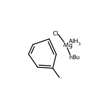 CCC[CH2][Mg][Cl].[AlH3].[CH2]c1ccccc1